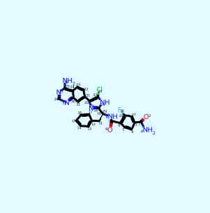 NC(=O)c1ccc(C(=O)N[C@@H](Cc2ccccc2)c2nc(-c3ccc4c(N)ncnc4c3)c(Cl)[nH]2)c(F)c1